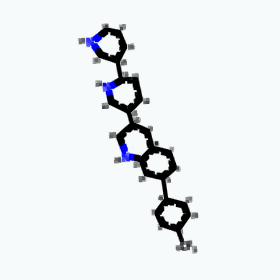 FC(F)(F)c1ccc(-c2ccc3cc(-c4ccc(-c5cccnc5)nc4)cnc3c2)cc1